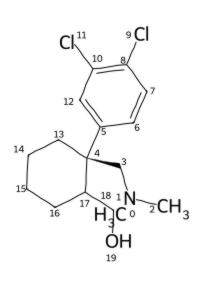 CN(C)C[C@]1(c2ccc(Cl)c(Cl)c2)CCCCC1CO